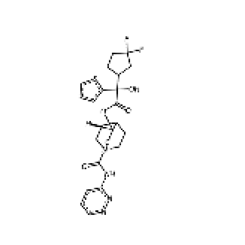 O=C(O[C@H]1C[N+]2(C(=O)Nc3cccnn3)CCC1CC2)C(O)(c1cccs1)C1CCC(F)(F)C1